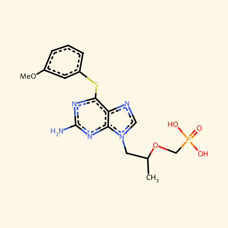 COc1cccc(Sc2nc(N)nc3c2ncn3CC(C)OCP(=O)(O)O)c1